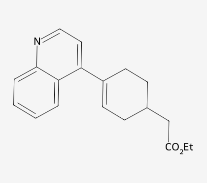 CCOC(=O)CC1CC=C(c2ccnc3ccccc23)CC1